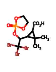 CC1(C)C(C(=O)O)C1C(OP1(=O)OCCO1)C(Br)(Br)Br